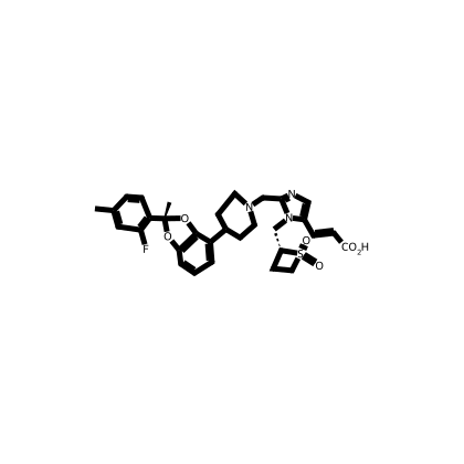 Cc1ccc([C@@]2(C)Oc3cccc(C4CCN(Cc5ncc(/C=C/C(=O)O)n5C[C@H]5CCS5(=O)=O)CC4)c3O2)c(F)c1